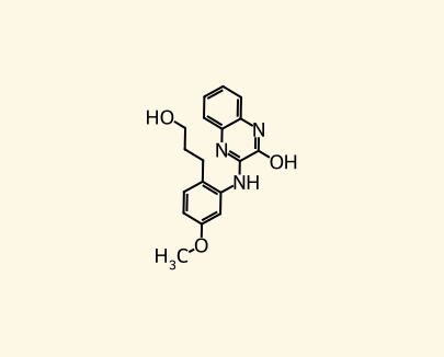 COc1ccc(CCCO)c(Nc2nc3ccccc3nc2O)c1